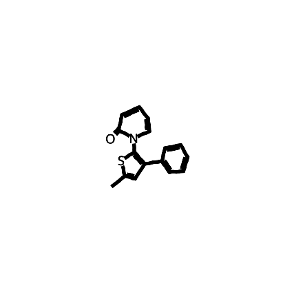 Cc1cc(-c2ccccc2)c(-n2ccccc2=O)s1